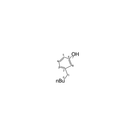 [CH2]CCCCc1cccc(O)c1